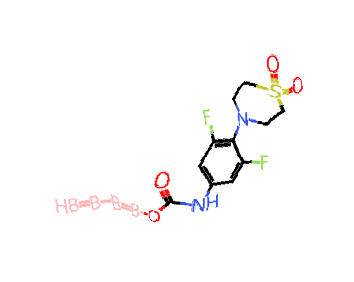 B=BB=BOC(=O)Nc1cc(F)c(N2CCS(=O)(=O)CC2)c(F)c1